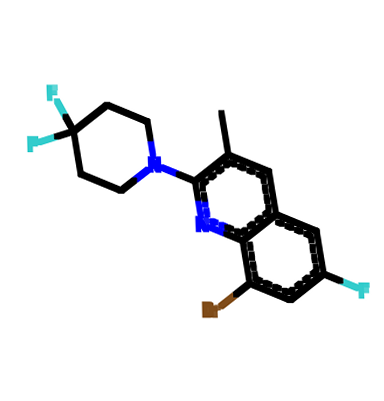 Cc1cc2cc(F)cc(Br)c2nc1N1CCC(F)(F)CC1